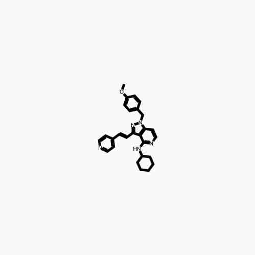 COc1ccc(Cn2nc(C=Cc3ccncc3)c3c(NC4CCCCC4)nccc32)cc1